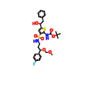 COCOC(CCNS(=O)(=O)c1cc(C(O)Cc2ccccc2)sc1NC(=O)OC(C)(C)C)c1ccc(F)cc1